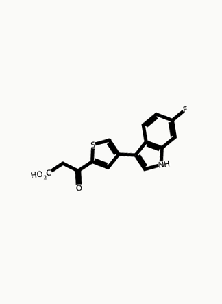 O=C(O)CC(=O)c1cc(-c2c[nH]c3cc(F)ccc23)cs1